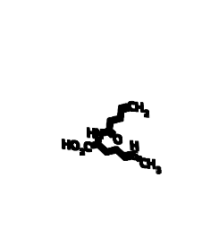 C=CCCC(=O)NC(CCC=[SH]C)C(=O)O